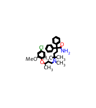 COc1cc(Cl)ccc1O[C@H](C)CCN(C)C(C)(C)CCC(C(N)=O)(c1ccccc1)c1ccccc1